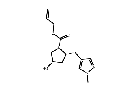 C=CCOC(=O)N1C[C@H](O)C[C@H]1Cc1cnn(C)c1